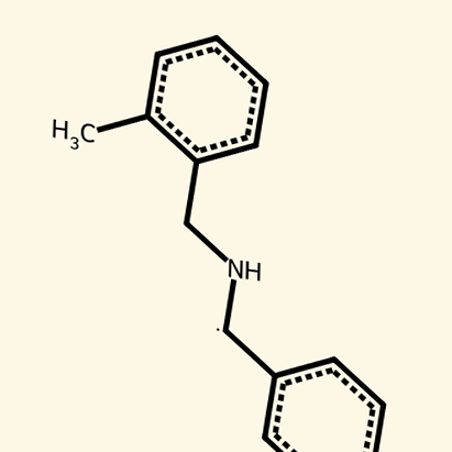 Cc1ccccc1CN[CH]c1ccccc1